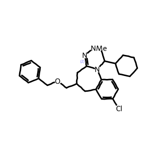 CN/N=C1/CC(COCc2ccccc2)Cc2cc(Cl)ccc2N1C(C)C1CCCCC1